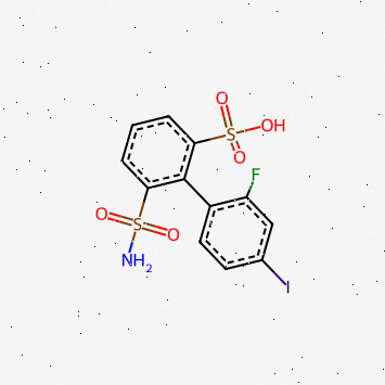 NS(=O)(=O)c1cccc(S(=O)(=O)O)c1-c1ccc(I)cc1F